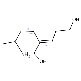 CC(N)/C=C\C(=C/CCO)CO